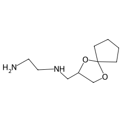 NCCNCC1COC2(CCCC2)O1